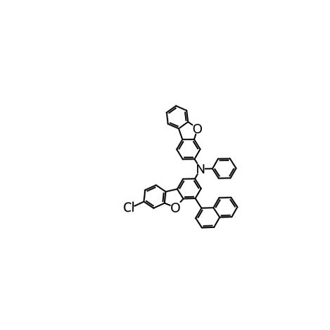 Clc1ccc2c(c1)oc1c(-c3cccc4ccccc34)cc(N(c3ccccc3)c3ccc4c(c3)oc3ccccc34)cc12